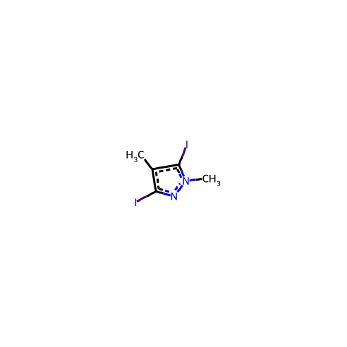 Cc1c(I)nn(C)c1I